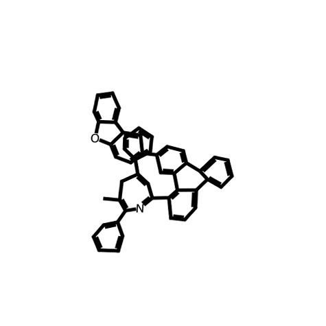 CC1=C(c2ccccc2)N=C(c2cccc3c4ccccc4c4ccc(-c5ccc6oc7ccccc7c6c5)cc4c23)C=C(c2ccccc2)C1